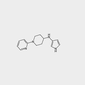 c1ccc(N2CCC(Nc3cc[nH]c3)CC2)nc1